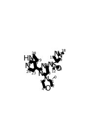 C[C@@H]1COCCN1c1cc(N=S(C)(=O)c2cnn(C)c2)nc(-c2ccnc3[nH]ccc23)n1